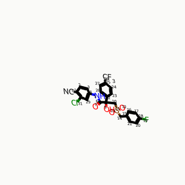 N#Cc1ccc(NC(=O)C(O)(CS(=O)(=O)Cc2ccc(F)cc2)c2ccc(C(F)(F)F)cc2)cc1Cl